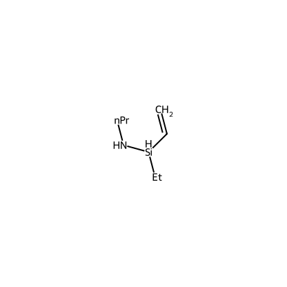 C=C[SiH](CC)NCCC